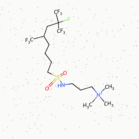 C[N+](C)(C)CCCNS(=O)(=O)CCCCC(CC(F)(C(F)(F)F)C(F)(F)F)C(F)(F)F